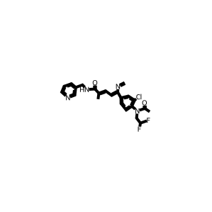 C=N/C(=C\C=C(/C)C(=O)NCc1cccnc1)c1ccc(N(CC(F)F)C(C)=O)c(Cl)c1